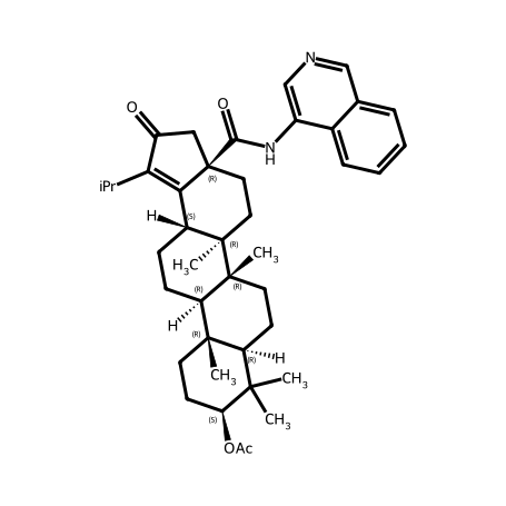 CC(=O)O[C@H]1CC[C@]2(C)[C@H]3CC[C@@H]4C5=C(C(C)C)C(=O)C[C@]5(C(=O)Nc5cncc6ccccc56)CC[C@@]4(C)[C@]3(C)CC[C@H]2C1(C)C